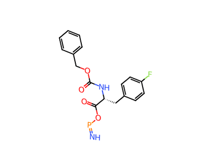 N=POC(=O)[C@@H](Cc1ccc(F)cc1)NC(=O)OCc1ccccc1